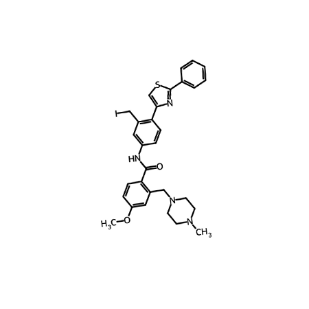 COc1ccc(C(=O)Nc2ccc(-c3csc(-c4ccccc4)n3)c(CI)c2)c(CN2CCN(C)CC2)c1